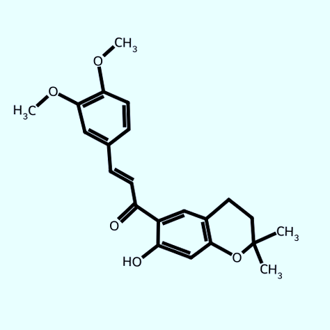 COc1ccc(/C=C/C(=O)c2cc3c(cc2O)OC(C)(C)CC3)cc1OC